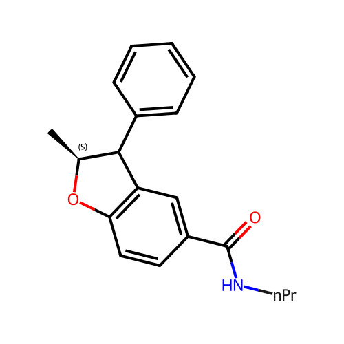 CCCNC(=O)c1ccc2c(c1)C(c1ccccc1)[C@H](C)O2